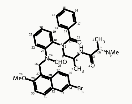 CN[C@@H](C)C(=O)NC(C)CN(C(=O)c1ccccc1)c1ccccc1N(C=O)Cc1c(OC)ccc2cc(Br)ccc12